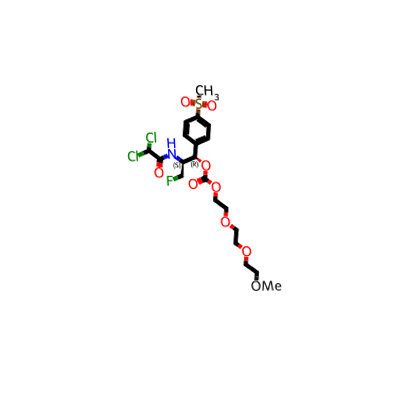 COCCOCCOCCOC(=O)O[C@H](c1ccc(S(C)(=O)=O)cc1)[C@@H](CF)NC(=O)C(Cl)Cl